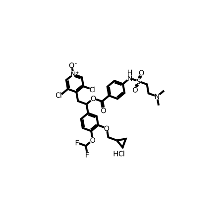 CN(C)CCS(=O)(=O)Nc1ccc(C(=O)OC(Cc2c(Cl)c[n+]([O-])cc2Cl)c2ccc(OC(F)F)c(OCC3CC3)c2)cc1.Cl